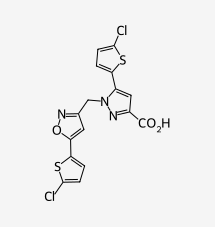 O=C(O)c1cc(-c2ccc(Cl)s2)n(Cc2cc(-c3ccc(Cl)s3)on2)n1